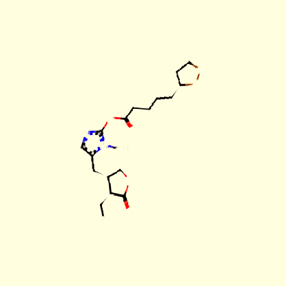 CC[C@@H]1C(=O)OC[C@@H]1Cc1cnc(OC(=O)CCCC[C@H]2CCSS2)n1C